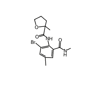 CNC(=O)c1cc(C)cc(Br)c1NC(=O)C1(C)CCCO1